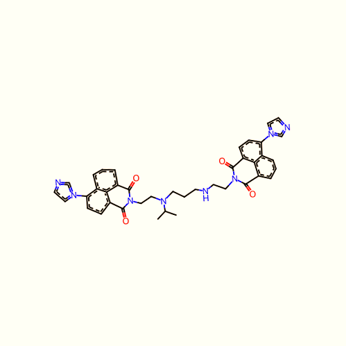 CC(C)N(CCCNCCN1C(=O)c2cccc3c(-n4ccnc4)ccc(c23)C1=O)CCN1C(=O)c2cccc3c(-n4ccnc4)ccc(c23)C1=O